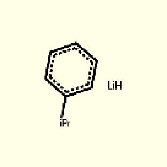 CC(C)c1cc[c]cc1.[LiH]